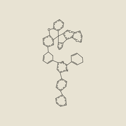 C1=CC(c2ccc3c(c2)C2(c4ccccc4O3)c3ccccc3-c3c2ccc2ccccc32)CC(c2cc(-c3ccc(-c4ccccc4)cc3)nc(C3=CCCC=C3)n2)=C1